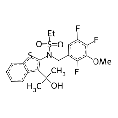 CCS(=O)(=O)N(Cc1cc(F)c(F)c(OC)c1F)c1sc2ccccc2c1C(C)(C)O